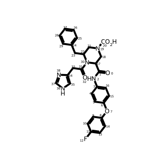 O=C(Nc1ccc(Oc2ccc(F)cc2)cc1)C1CN(C(=O)O)CC(Cc2ccccc2)N1C(=O)Cc1c[nH]cn1